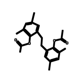 CC(=O)Oc1c(C)cc(C)cc1CCc1cc(C)cc(C)c1OC(C)=O